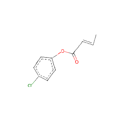 CC=CC(=O)Oc1ccc(Cl)cc1